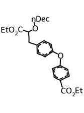 CCCCCCCCCCOC(Cc1ccc(Oc2ccc(C(=O)OCC)cc2)cc1)C(=O)OCC